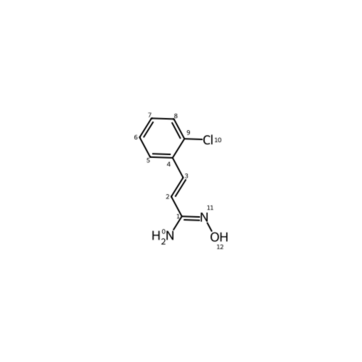 NC(/C=C/c1ccccc1Cl)=NO